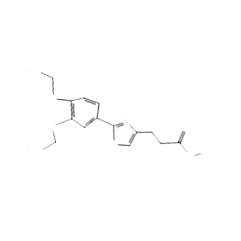 CCOc1ccc(-c2nc(CCC(=O)OC)co2)cc1OCC